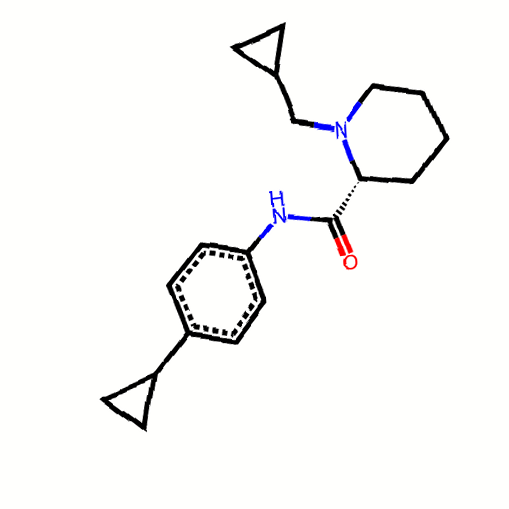 O=C(Nc1ccc(C2CC2)cc1)[C@H]1CCCCN1CC1CC1